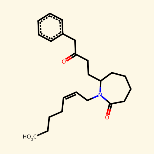 O=C(O)CCC/C=C\CN1C(=O)CCCCC1CCC(=O)Cc1ccccc1